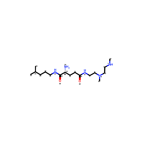 CNCCN(C)CCNC(=O)CC[C@@H](N)C(=O)NCCCC(C)C